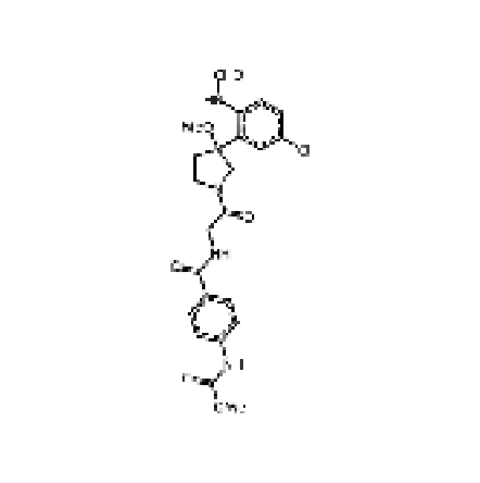 COC(=O)Nc1ccc(C(=O)NCC(=O)N2CCC(OC)(c3cc(Cl)ccc3NC=O)C2)cc1